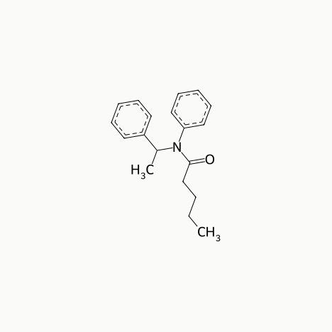 CCCCC(=O)N(c1ccccc1)C(C)c1ccccc1